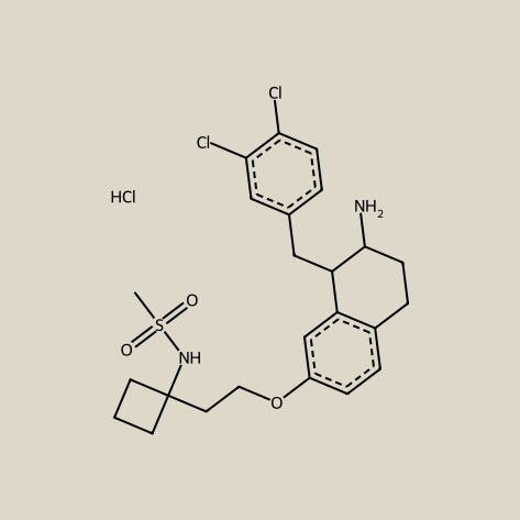 CS(=O)(=O)NC1(CCOc2ccc3c(c2)C(Cc2ccc(Cl)c(Cl)c2)C(N)CC3)CCC1.Cl